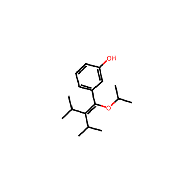 CC(C)OC(=C(C(C)C)C(C)C)c1cccc(O)c1